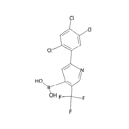 OB(O)c1cc(-c2cc(Cl)c(Cl)cc2Cl)ncc1C(F)(F)F